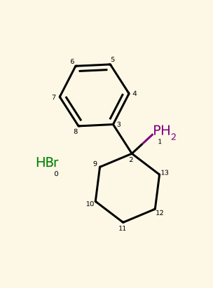 Br.PC1(c2ccccc2)CCCCC1